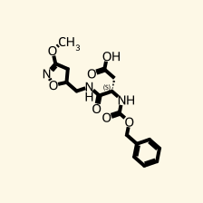 COC1=NOC(CNC(=O)[C@H](CC(=O)O)NC(=O)OCc2ccccc2)C1